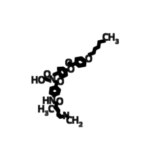 C=N/C=C\C=C(/C)C(=O)Nc1ccc(C(=O)N(CC(=O)O)Cc2ccc(OC(=O)c3ccc(OCCCCCCC)cc3)cc2)cc1